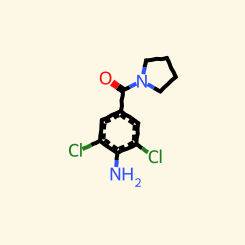 Nc1c(Cl)cc(C(=O)N2CCCC2)cc1Cl